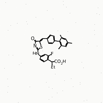 CCC(C(=O)O)c1ccc(NC2=NC(=O)C(=Cc3ccc(-c4c(C)cc(C)cc4C)cc3)S2)cc1F